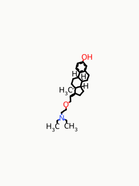 CCN(CC)CCOC/C=C1\CC[C@H]2[C@@H]3CCc4cc(O)ccc4[C@H]3CC[C@]12C